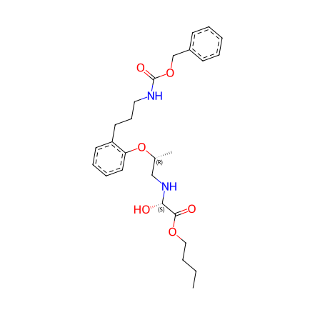 CCCCOC(=O)[C@H](O)NC[C@@H](C)Oc1ccccc1CCCNC(=O)OCc1ccccc1